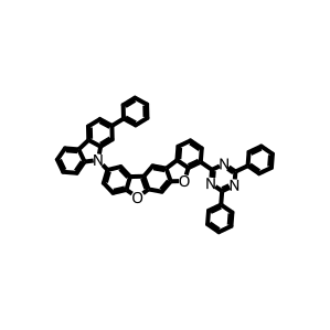 c1ccc(-c2ccc3c4ccccc4n(-c4ccc5oc6cc7oc8c(-c9nc(-c%10ccccc%10)nc(-c%10ccccc%10)n9)cccc8c7cc6c5c4)c3c2)cc1